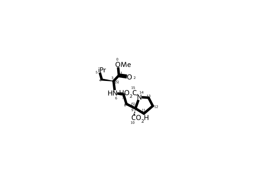 COC(=O)[C@H](CC(C)C)NCC[C@]1(C(=O)O)CCCN1C(=O)O